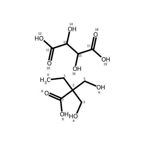 CCC(CO)(CO)C(=O)O.O=C(O)C(O)C(O)C(=O)O